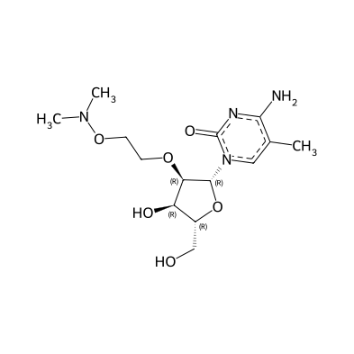 Cc1cn([C@@H]2O[C@H](CO)[C@@H](O)[C@H]2OCCON(C)C)c(=O)nc1N